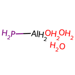 O.O.O.[AlH2][PH2]